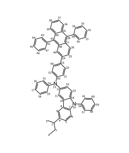 CCC(C)c1ccc2c(c1)c1cc(N(c3ccccc3)c3ccc(-c4ccc5c(-c6ccccc6)c6ccccc6c(-c6ccccc6)c5c4)cc3)ccc1n2-c1ccccc1